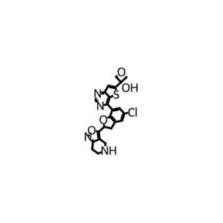 OC1(c2cc3ncnc(-c4cc(Cl)cc5c4OC(c4onc6c4CNCC6)C5)c3s2)COC1